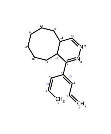 C=C/C=C(\C=C/C)C1=NN=CC2CCCCCCC12